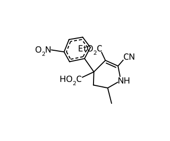 CCOC(=O)C1=C(C#N)NC(C)CC1(C(=O)O)c1cccc([N+](=O)[O-])c1